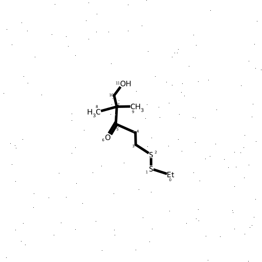 CCSSCCC(=O)C(C)(C)CO